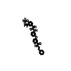 O=C(Nc1cccc(Oc2ccnc(C(=O)NCCN3CCCCC3)c2)c1)Nc1ccc2c(c1)C(F)(F)OC(F)(F)O2